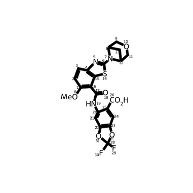 COc1ccc2nc(N3C4COCC3C4)sc2c1C(=O)Nc1cc2c(cc1C(=O)O)OC(F)(F)O2